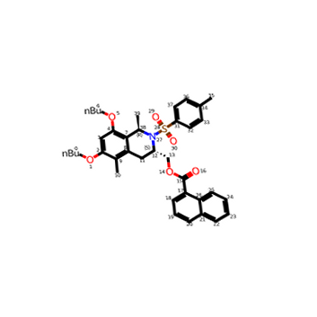 CCCCOc1cc(OCCCC)c2c(c1C)C[C@@H](COC(=O)c1cccc3ccccc13)N(S(=O)(=O)c1ccc(C)cc1)[C@@H]2C